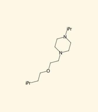 CC(C)CCOCCN1CCN(C(C)C)CC1